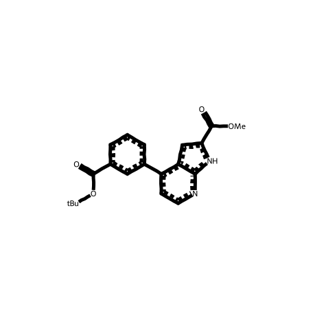 COC(=O)c1cc2c(-c3cccc(C(=O)OC(C)(C)C)c3)ccnc2[nH]1